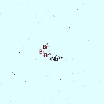 [Br-].[Br-].[Br-].[Nb+3]